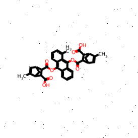 CC1=CC2CC1C(C(=O)O)C2C(=O)Oc1c2ccccc2c(OC(=O)C2C3C=C(C)C(C3)C2C(=O)O)c2c(C)cccc12